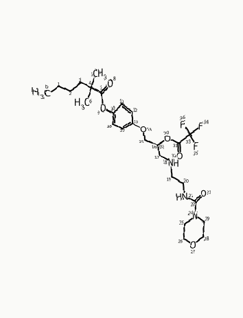 CCCCC(C)(C)C(=O)Oc1ccc(OC[C@H](CNCCNC(=O)N2CCOCC2)OC(=O)C(F)(F)F)cc1